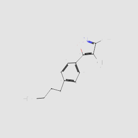 CCCCc1ccc(-c2onc(C)c2C)cc1